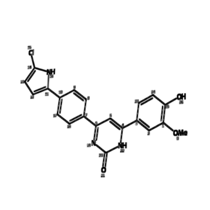 COc1cc(-c2cc(-c3ccc(-c4ccc(Cl)[nH]4)cc3)nc(=O)[nH]2)ccc1O